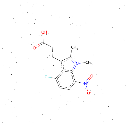 Cc1c(CCC(=O)O)c2c(F)ccc([N+](=O)[O-])c2n1C